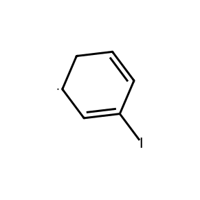 IC1=C[CH]CC=C1